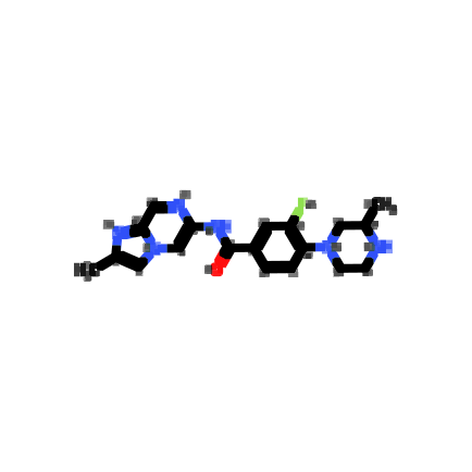 Cc1cn2cc(NC(=O)c3ccc(N4CCNC(C)C4)c(F)c3)ncc2n1